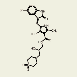 Cc1[nH]c(/C=C2\C(=O)Nc3ccc(Br)cc32)c(C)c1C(=O)NC[C@H](O)CN1CCS(=O)(=O)CC1